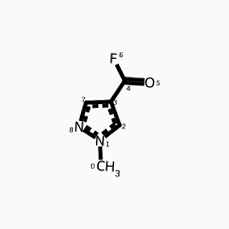 Cn1cc(C(=O)F)cn1